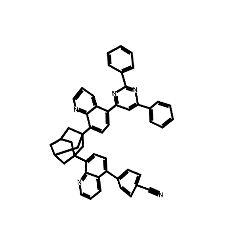 N#Cc1ccc(-c2ccc(C34CC5CC(C3)CC(c3ccc(-c6cc(-c7ccccc7)nc(-c7ccccc7)n6)c6cccnc36)(C5)C4)c3ncccc23)cc1